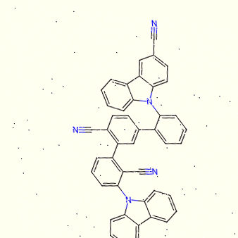 N#Cc1ccc2c(c1)c1ccccc1n2-c1ccccc1-c1ccc(C#N)c(-c2cccc(-n3c4ccccc4c4ccccc43)c2C#N)c1